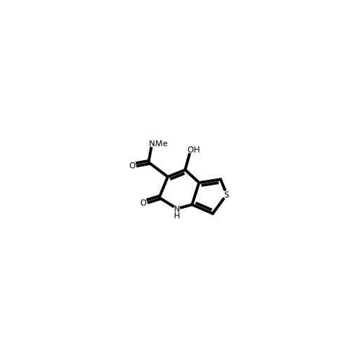 CNC(=O)c1c(O)c2cscc2[nH]c1=O